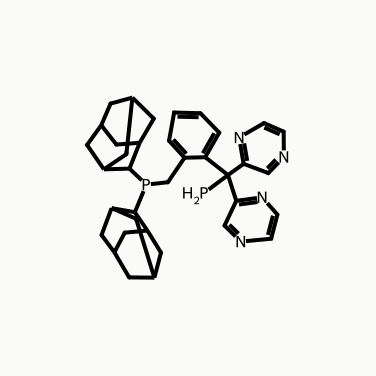 PC(c1cnccn1)(c1cnccn1)c1ccccc1CP(C1C2CC3CC(C2)CC1C3)C1C2CC3CC(C2)CC1C3